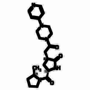 C[C@@H]1CCCN1C(=O)[C@@H]1C[C@@H](CC(=O)N2CCN(c3ccncc3)CC2)C(=O)N1